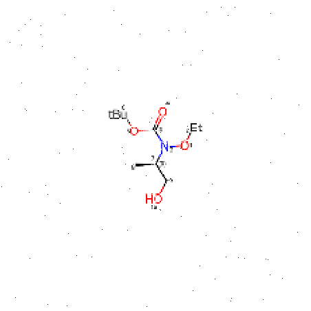 CCON(C(=O)OC(C)(C)C)[C@H](C)CO